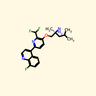 CC(C)C[C@](C)(N)COc1ccc(-c2ccnc3c(F)cccc23)nc1C(F)F